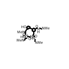 CNCCNC(=O)c1cc2cc(c1)-c1ccc(O)c(c1)C[C@H](NC)C(=O)N[C@@H](C[C@@H](O)CNC)C(=O)N[C@H](C(=O)NCCNC)C2